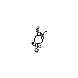 COCOc1cc2c(c(OCOC)c1)C(=O)O[C@@H](C)C/C=C\C(OC(=O)c1ccccc1)C1OC(C)(C)OC1C/C=C/2